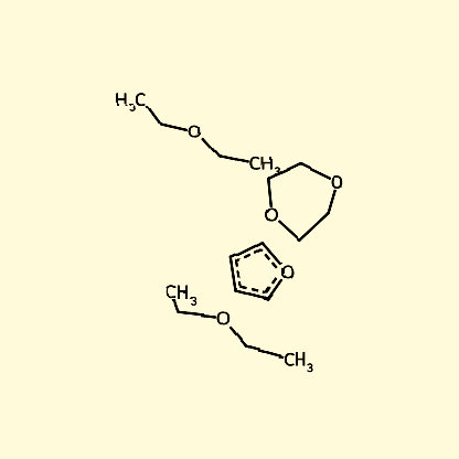 C1COCCO1.CCOCC.CCOCC.c1ccoc1